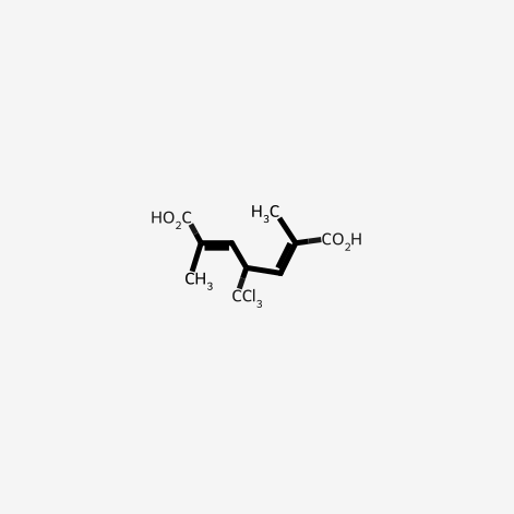 CC(=CC(C=C(C)C(=O)O)C(Cl)(Cl)Cl)C(=O)O